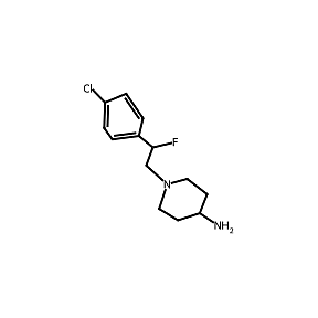 NC1CCN(CC(F)c2ccc(Cl)cc2)CC1